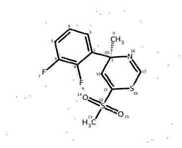 C[C@@]1(c2cccc(F)c2F)C=C(S(C)(=O)=O)S[C]=N1